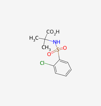 CC(C)(NS(=O)(=O)c1ccccc1Cl)C(=O)O